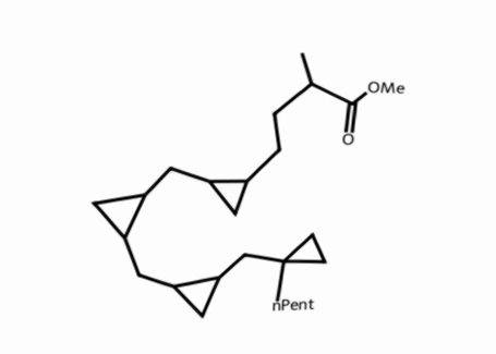 CCCCCC1(CC2CC2CC2CC2CC2CC2CCC(C)C(=O)OC)CC1